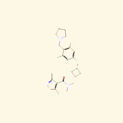 Cc1noc(C)c1C(=O)N(C)C[C@H]1C[C@H](Oc2cc(F)c(CN3CCCC3)c(Cl)c2)C1.Cl